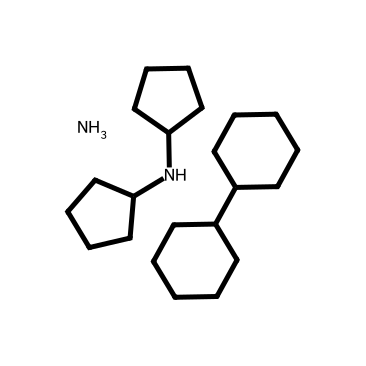 C1CCC(C2CCCCC2)CC1.C1CCC(NC2CCCC2)C1.N